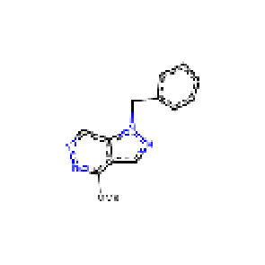 COc1nncc2c1cnn2Cc1ccccc1